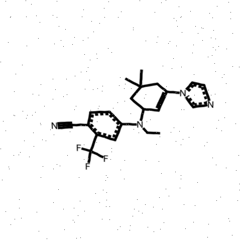 CCN(c1ccc(C#N)c(C(F)(F)F)c1)C1C=C(n2ccnc2)CC(C)(C)C1